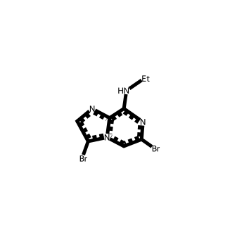 CCNc1nc(Br)cn2c(Br)cnc12